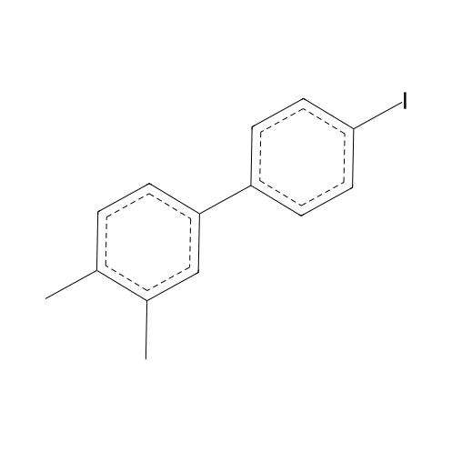 Cc1ccc(-c2ccc(I)cc2)cc1C